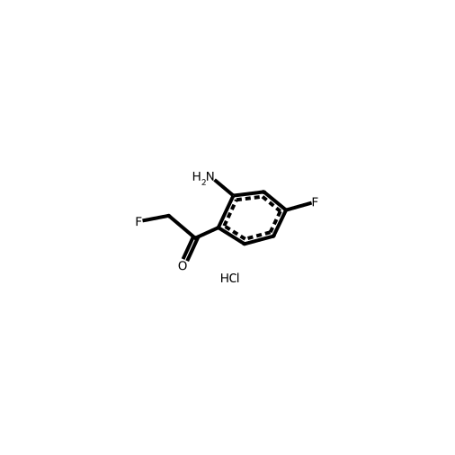 Cl.Nc1cc(F)ccc1C(=O)CF